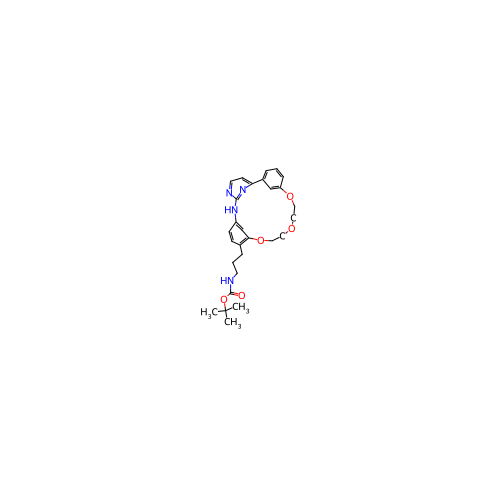 CC(C)(C)OC(=O)NCCCc1ccc2cc1OCCOCCOc1cccc(c1)-c1ccnc(n1)N2